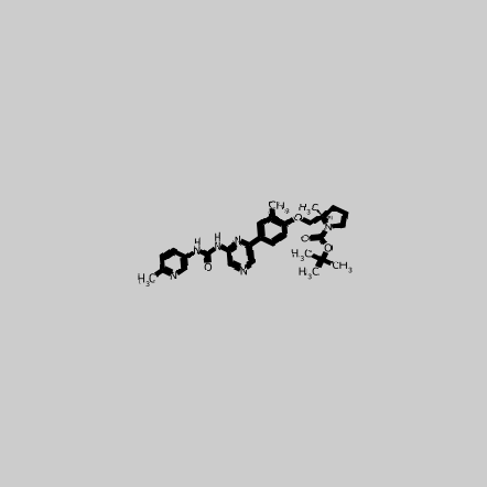 Cc1ccc(NC(=O)Nc2cncc(-c3ccc(OC[C@@]4(C)CCCN4C(=O)OC(C)(C)C)c(C)c3)n2)cn1